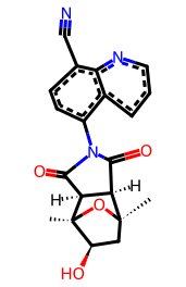 C[C@]12O[C@](C)(C[C@H]1O)[C@@H]1C(=O)N(c3ccc(C#N)c4ncccc34)C(=O)[C@@H]12